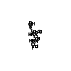 O=C(C=CCN1C[C@H]2CC1CO2)Nc1cc2c(Nc3ccc(F)c(Cl)c3)ncnc2cc1O[C@@H]1CCOC1